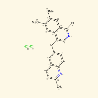 CCc1ncc(Cc2ccc3nc(C)ccc3c2)c2cc(OC)c(OC)cc12.Cl.Cl